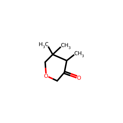 CC1C(=O)COCC1(C)C